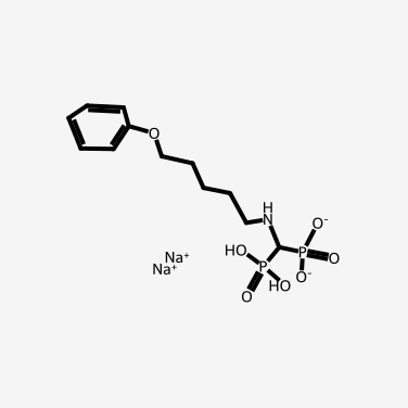 O=P([O-])([O-])C(NCCCCCOc1ccccc1)P(=O)(O)O.[Na+].[Na+]